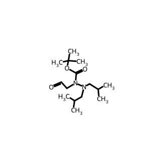 CC(C)CN(CC(C)C)N(CC=O)C(=O)OC(C)(C)C